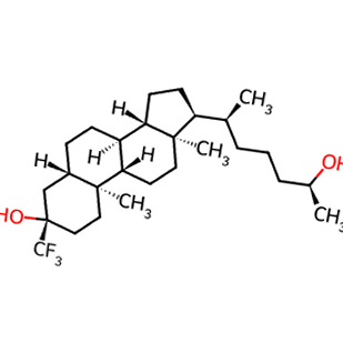 C[C@H](O)CCC[C@H](C)[C@@H]1CC[C@H]2[C@@H]3CC[C@H]4C[C@](O)(C(F)(F)F)CC[C@]4(C)[C@H]3CC[C@@]21C